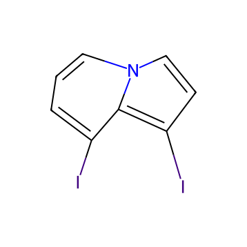 Ic1cccn2ccc(I)c12